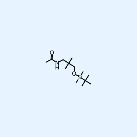 CC(=O)NCC(C)(C)CO[Si](C)(C)C(C)(C)C